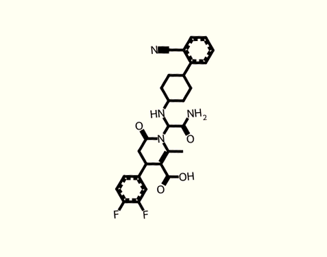 CC1=C(C(=O)O)C(c2ccc(F)c(F)c2)CC(=O)N1C(NC1CCC(c2ccccc2C#N)CC1)C(N)=O